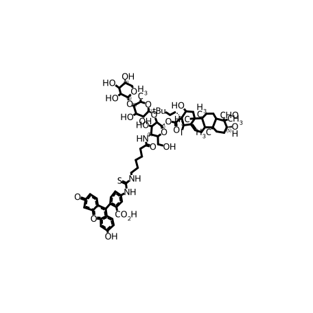 CC1O[C@@H](OC2C(O)[C@@H](NC(=O)CCCCCNC(=S)Nc3ccc(-c4c5ccc(=O)cc-5oc5cc(O)ccc45)c(C(=O)O)c3)C(CO)O[C@H]2OC(=O)[C@@]2(CCC(C)(C)C)C(O)CC3(C)C(=CCC4C5(C)CC[C@H](O)C(C)(C=O)C5CCC43C)C2I)C(O)C(O)[C@H]1O[C@@H]1OC[C@@H](O)C(O)C1O